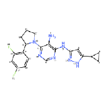 Nc1c(Nc2cc(C3CC3)[nH]n2)ncnc1N1CCCC1c1ccc(F)cc1F